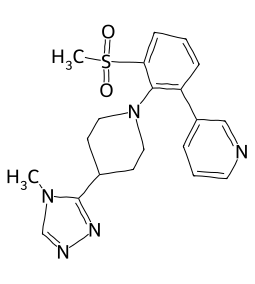 Cn1cnnc1C1CCN(c2c(-c3cccnc3)cccc2S(C)(=O)=O)CC1